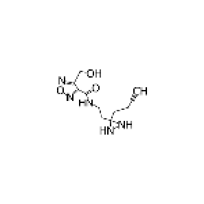 C#CCCC1(CCNC(=O)c2nonc2CO)NN1